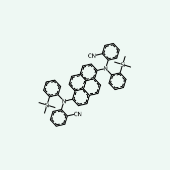 [C-]#[N+]c1ccccc1N(c1ccccc1[Si](C)(C)C)c1ccc2ccc3c(N(c4ccccc4C#N)c4ccccc4[Si](C)(C)C)ccc4ccc1c2c43